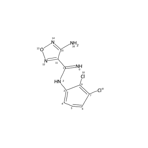 N=C(Nc1cccc(Cl)c1Cl)c1nonc1N